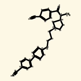 CN(C(=O)c1ccc(C#N)cc1)N1CC[C@@H](CCCOc2ccc(-c3ccc(C#N)cc3)cc2)C1